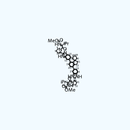 COC(=O)N[C@H](C(=O)N1CCC[C@H]1c1nc2ccc(-c3ccc(-c4ccc5c(c4)NC([C@@H]4CCCN4C(=O)[C@@H](NC(=O)OC)C(C)C)N5)c4c3C3(CCCC3)CC4)cc2[nH]1)C(C)C